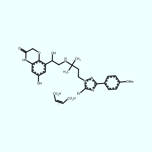 CCc1nc(-c2ccc(OC)cc2)nn1CCC(C)(C)NCC(O)c1cc(O)cc2c1OCC(=O)N2.O=C(O)/C=C\C(=O)O